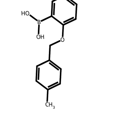 Cc1ccc(COc2ccccc2B(O)O)cc1